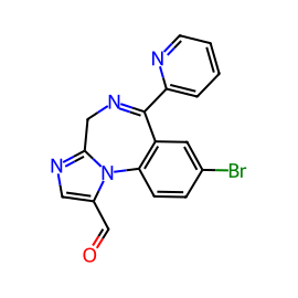 O=Cc1cnc2n1-c1ccc(Br)cc1C(c1ccccn1)=NC2